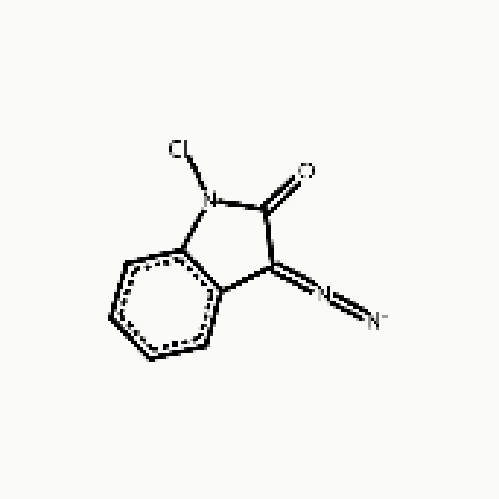 [N-]=[N+]=C1C(=O)N(Cl)c2ccccc21